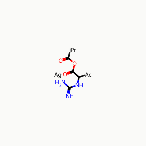 CC(=O)C(NC(=N)N)C(=O)OC(=O)C(C)C.[Ag]